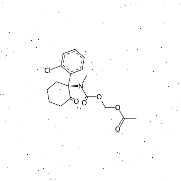 CC(=O)OCOC(=O)N(C)[C@]1(c2ccccc2Cl)CCCCC1=O